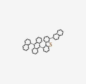 c1ccc2cc(-c3cccc4c3sc3cccc(-c5c6ccccc6c(-c6cccc7ccccc67)c6ccccc56)c34)ccc2c1